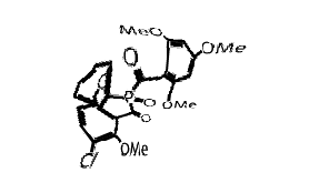 COc1cc(OC)c(C(=O)P(=O)(C(=O)c2c(Cl)ccc(Cl)c2OC)c2ccccc2)c(OC)c1